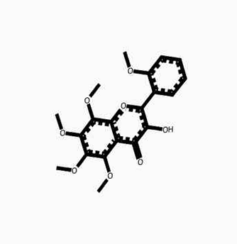 COc1ccccc1-c1oc2c(OC)c(OC)c(OC)c(OC)c2c(=O)c1O